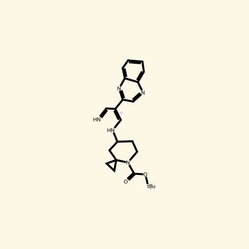 CC(C)(C)OC(=O)N1CCC(N/C=C(\C=N)c2cnc3ccccc3n2)CC12CC2